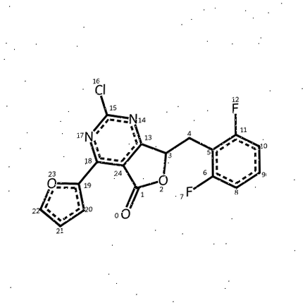 O=C1OC(Cc2c(F)cccc2F)c2nc(Cl)nc(-c3ccco3)c21